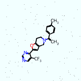 C=C(c1ccc(C)cc1)N1CCc2oc(-c3ncncc3C(F)(F)F)cc2C1